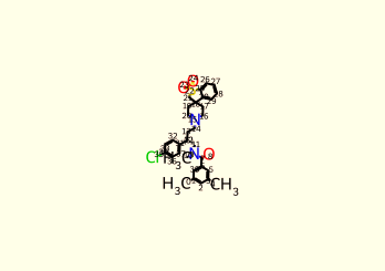 Cc1cc(C)cc(C(=O)N(C)C[C@@H](CCN2CCC3(CC2)CS(=O)(=O)c2ccccc23)c2ccc(Cl)cc2)c1